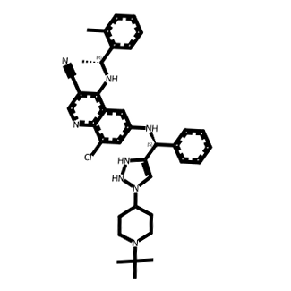 Cc1ccccc1[C@@H](C)Nc1c(C#N)cnc2c(Cl)cc(N[C@H](C3=CN(C4CCN(C(C)(C)C)CC4)NN3)c3ccccc3)cc12